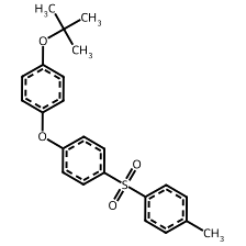 Cc1ccc(S(=O)(=O)c2ccc(Oc3ccc(OC(C)(C)C)cc3)cc2)cc1